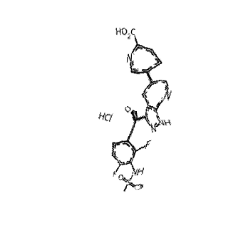 CS(=O)(=O)Nc1c(F)ccc(C(=O)c2n[nH]c3ncc(-c4ccc(C(=O)O)nc4)cc23)c1F.Cl